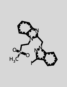 CS(=O)(=O)CCn1c(Cn2nc(I)c3ccccc32)nc2ccccc21